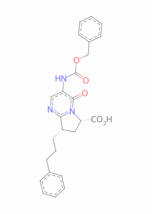 O=C(Nc1cnc2n(c1=O)[C@H](C(=O)O)C[C@@H]2CCCc1ccccc1)OCc1ccccc1